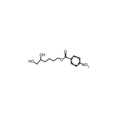 O=C(OCCCCC(O)CO)c1ccc([N+](=O)[O-])cc1